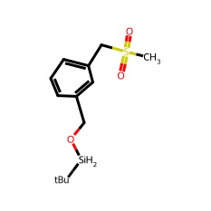 CC(C)(C)[SiH2]OCc1cccc(CS(C)(=O)=O)c1